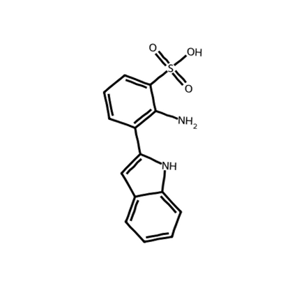 Nc1c(-c2cc3ccccc3[nH]2)cccc1S(=O)(=O)O